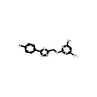 Oc1cc(C(F)(F)F)nc(SCc2nnc(-c3ccc(F)cc3)o2)n1